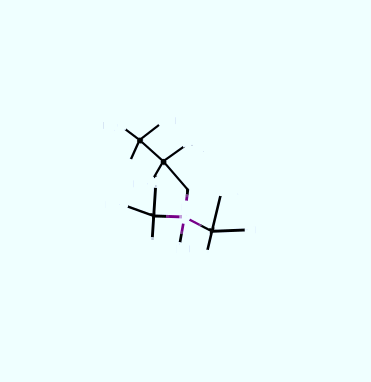 BC(C)(C[PH](B)(C(C)(C)C)C(C)(C)C)C(C)(C)C